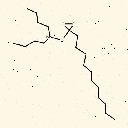 CCCCCCCCCCCC1([O][SnH]([CH2]CCC)[CH2]CCC)OO1